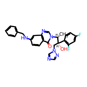 C[C@@H](n1cnc2cc(NCc3ccccc3)ccc2c1=O)[C@](O)(Cn1cncn1)c1ccc(F)cc1F